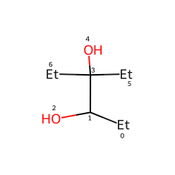 CCC(O)C(O)(CC)CC